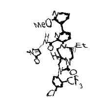 CC[C@@H]1CN2C(=O)N(c3ccc(Cl)cc3C(F)(F)F)C[C@@H]2CN1c1ccc(-c2cccnc2OC)nc1C(=O)N[C@@H]1CC(=O)N(C)C1